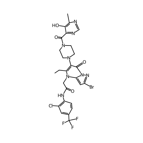 CCc1c(N2CCN(C(=O)c3ncnc(C)c3O)CC2)c(=O)n2nc(Br)cc2n1CC(=O)Nc1ccc(C(F)(F)F)cc1Cl